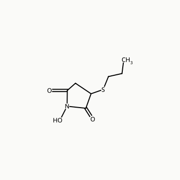 CCCSC1CC(=O)N(O)C1=O